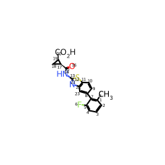 Cc1cccc(F)c1-c1ccc2sc(NC(=O)[C@H]3C[C@H]3C(=O)O)nc2c1